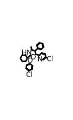 CC(NC(=O)C1(Oc2ccc(Cl)cc2)CCCCC1)C(Cc1ccc(Cl)cn1)c1ccccc1